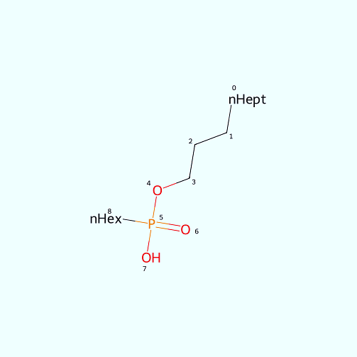 CCCCCCCCCCOP(=O)(O)CCCCCC